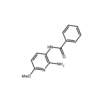 COc1ccc(NC(=O)c2ccccc2)c(N)n1